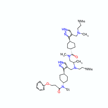 CCN(C(=O)CCOc1ccccc1)[C@H]1CC[C@H](c2n[nH]cc2CN(CCNC)C(C)CN(C)C(=O)[C@H]2CC[C@H](c3n[nH]cc3CN(C)CCNC)CC2)CC1